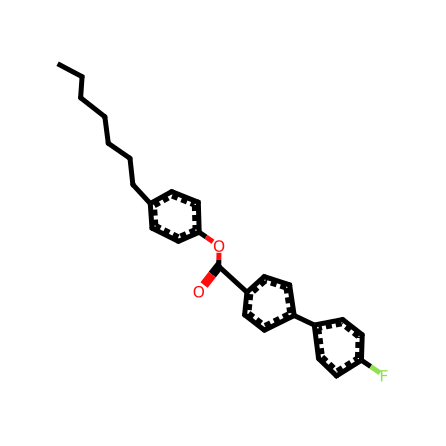 CCCCCCCc1ccc(OC(=O)c2ccc(-c3ccc(F)cc3)cc2)cc1